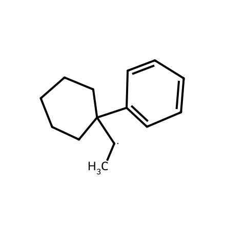 C[CH]C1(c2ccccc2)CCCCC1